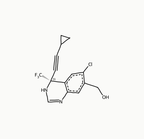 OCc1cc2c(cc1Cl)[C@@](C#CC1CC1)(C(F)(F)F)NC=N2